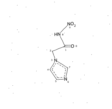 O=C(Cn1ccnc1)N[N+](=O)[O-]